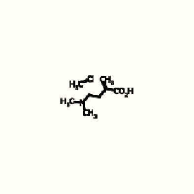 C=C(CCN(C)C)C(=O)O.CCl